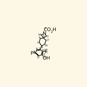 O=C(O)N1CC2(CCC(c3cc(F)cc(O)c3F)CC2)C1